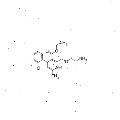 CCOC(=O)C1=C(COCCN)NC(C)=CC1c1ccccc1Cl